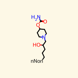 CCCCCCCCCCCCC(O)CN1CCC(OC(N)=O)CC1